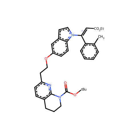 CCOC(=O)/C=C(\c1ccccc1C)n1ccc2cc(OCCc3ccc4c(n3)N(C(=O)OC(C)(C)C)CCC4)ccc21